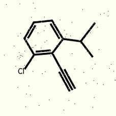 C#Cc1c(Cl)cccc1[C](C)C